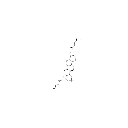 C=CCCC(=O)OC[C@@]12C(CC(C)(C)[C@@H](O)[C@@H]1O)C1=CCC3[C@@]4(C)CC[C@H](O)[C@](C)(COC(=O)CCC=C)C4CC[C@@]3(C)[C@]1(C)C[C@H]2O